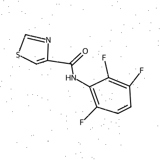 O=C(Nc1c(F)ccc(F)c1F)c1cscn1